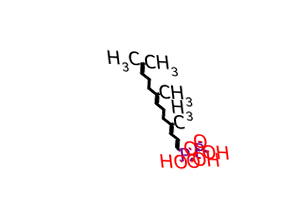 CC(C)=CCC/C(C)=C/CC/C(C)=C/C=C/P(=O)(O)OP(=O)(O)O